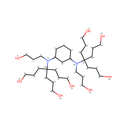 OCCCN(C1CCCC(N(CCCO)C(CCCO)(CCCO)CCCO)C1)C(CCCO)(CCCO)CCCO